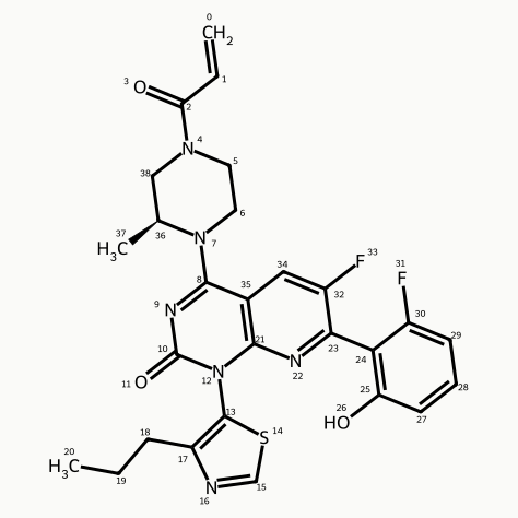 C=CC(=O)N1CCN(c2nc(=O)n(-c3scnc3CCC)c3nc(-c4c(O)cccc4F)c(F)cc23)[C@@H](C)C1